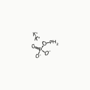 O=P([O-])([O-])OP.[K+].[K+]